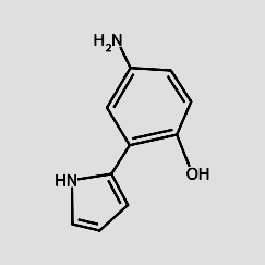 Nc1ccc(O)c(-c2ccc[nH]2)c1